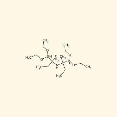 CCO[SiH](OCC)C(C)(CC)NC(C)(CC)[SiH](OCC)OCC